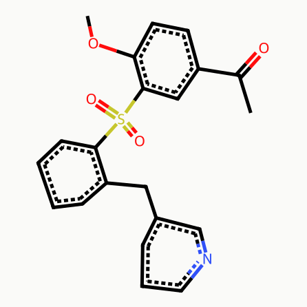 COc1ccc(C(C)=O)cc1S(=O)(=O)c1ccccc1Cc1cccnc1